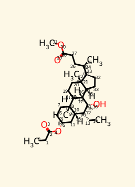 CCC(=O)O[C@@H]1CC[C@@]2(C)[C@@H](C1)[C@@H](CC)[C@@H](O)[C@@H]1[C@@H]2CC[C@]2(C)[C@@H]([C@H](C)CCC(=O)OC)CC[C@@H]12